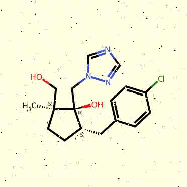 C[C@@]1(CO)CC[C@@H](Cc2ccc(Cl)cc2)[C@@]1(O)Cn1cncn1